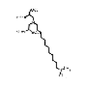 CCCCCCCCC(CCCCCC)CN(CCCCCCCCCCCCN(C)C)CC(CCCCCC)CCCCCCCC